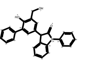 O=C1C(c2cc(CO)c(O)c(-c3ccccc3)c2)c2ccccc2N1c1ccccc1